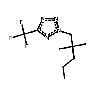 CCCC(C)(C)Cn1nnc(C(F)(F)F)n1